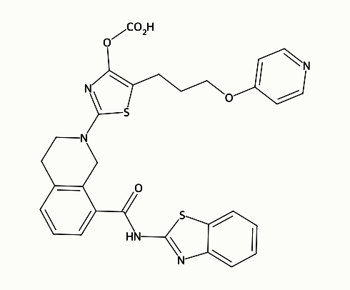 O=C(O)Oc1nc(N2CCc3cccc(C(=O)Nc4nc5ccccc5s4)c3C2)sc1CCCOc1ccncc1